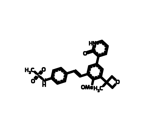 COc1c(/C=C/c2ccc(NS(C)(=O)=O)cc2)cc(-c2ccc[nH]c2=O)cc1C1(C)COC1